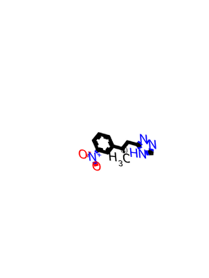 C[C@H](Cc1nnc[nH]1)c1cccc([N+](=O)[O-])c1